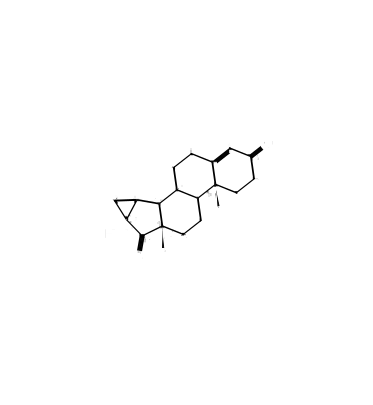 C[C@]12CCC(=O)C=C1CCC1C2CC[C@]2(C)C(=O)[C@H]3CC3C12